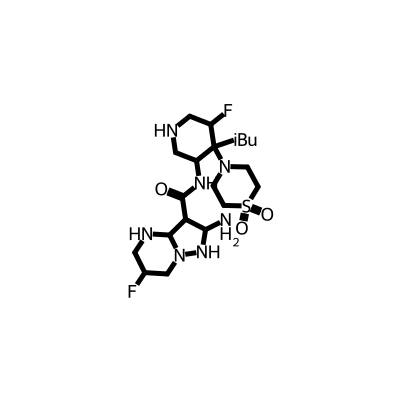 CCC(C)C1(N2CCS(=O)(=O)CC2)C(F)CNCC1NC(=O)C1C(N)NN2CC(F)CNC12